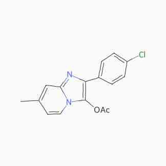 CC(=O)Oc1c(-c2ccc(Cl)cc2)nc2cc(C)ccn12